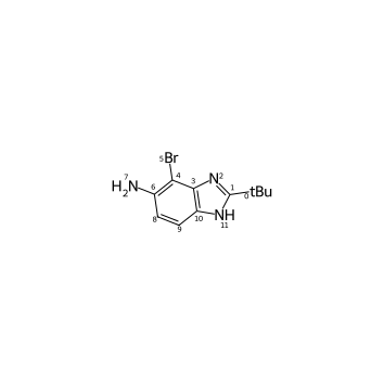 CC(C)(C)c1nc2c(Br)c(N)ccc2[nH]1